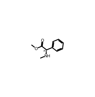 CN[C@@H](C(=O)OC)c1ccccc1